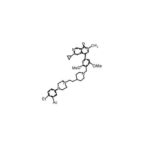 CCc1ccc(N2CCN(CCC3CCN(Cc4c(OC)cc(-c5cn(C)c(=O)c6cnc(C7CC7)cc56)cc4OC)CC3)CC2)cc1C(C)=O